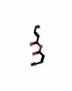 CCCC=CC(=O)OC(=O)/C=C\CCC